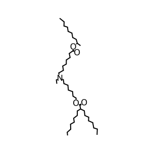 CCCCCCCCC(C)OC(=O)CCCCCCCN(CC)CCCCCCCOC(=O)C(CCCCCCCC)CCCCCCCC